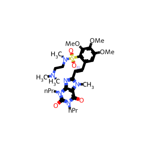 CCCn1c(=O)c2c(nc(/C=C/c3cc(OC)c(OC)c(OC)c3S(=O)(=O)N(C)CCN(C)C)n2C)n(CCC)c1=O